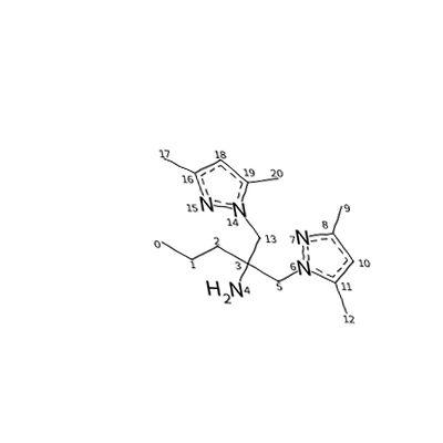 CCCC(N)(Cn1nc(C)cc1C)Cn1nc(C)cc1C